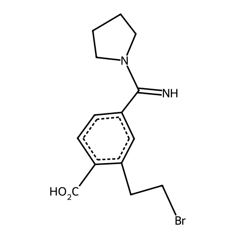 N=C(c1ccc(C(=O)O)c(CCBr)c1)N1CCCC1